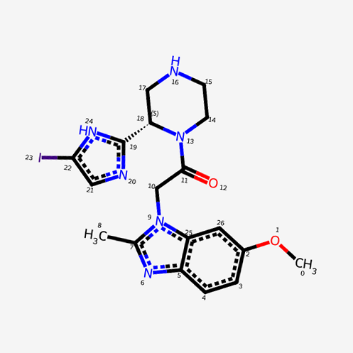 COc1ccc2nc(C)n(CC(=O)N3CCNC[C@H]3c3ncc(I)[nH]3)c2c1